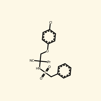 CC(C)C(C#N)(COc1ccc(Cl)cc1)NS(=O)(=O)Cc1ccccc1